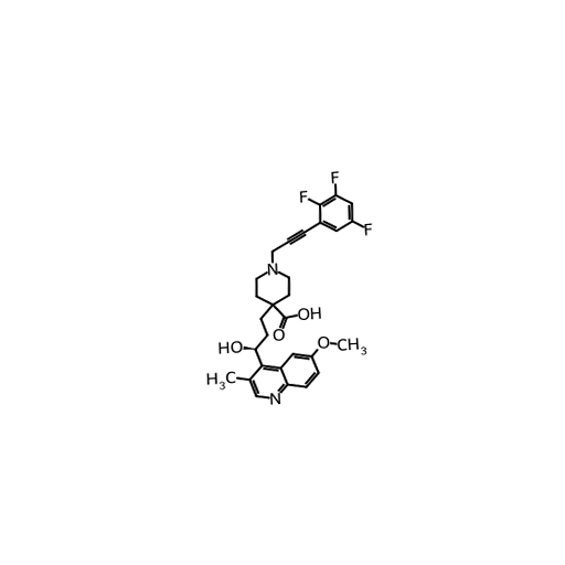 COc1ccc2ncc(C)c([C@@H](O)CCC3(C(=O)O)CCN(CC#Cc4cc(F)cc(F)c4F)CC3)c2c1